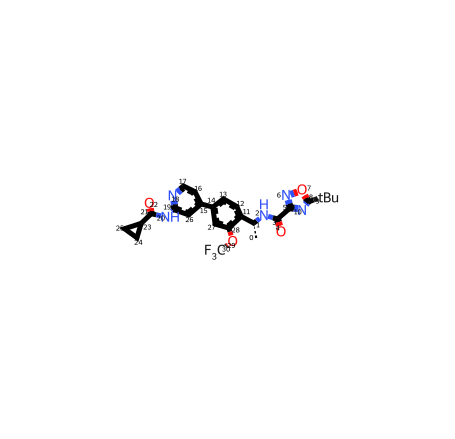 C[C@@H](NC(=O)c1noc(C(C)(C)C)n1)c1ccc(-c2ccnc(NC(=O)C3CC3)c2)cc1OC(F)(F)F